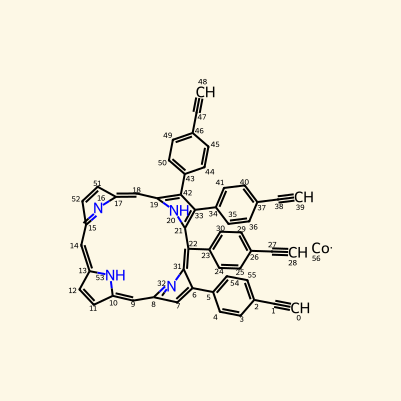 C#Cc1ccc(C2=Cc3cc4ccc(cc5nc(cc6[nH]c(c(-c7ccc(C#C)cc7)c2n3)c(-c2ccc(C#C)cc2)c6-c2ccc(C#C)cc2)C=C5)[nH]4)cc1.[Co]